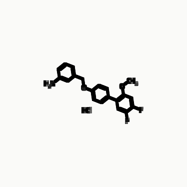 COc1cc(F)c(F)cc1-c1ccc(OCc2cccc(N)c2)cc1.Cl